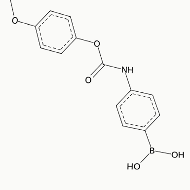 COc1ccc(OC(=O)Nc2ccc(B(O)O)cc2)cc1